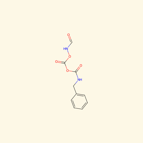 O=CNOC(=O)OC(=O)NCc1ccccc1